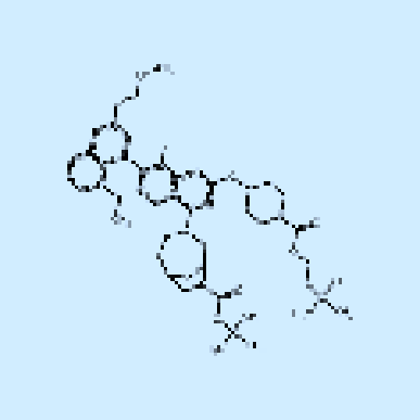 CCc1cccc2cc(OCOC)cc(-c3ncc4c(N5CCC6CC(C5)N(C(=O)OC(C)(C)C)C6)nc(OC5CCN(C(=O)OCC[Si](C)(C)C)CC5)nc4c3F)c12